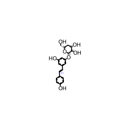 OC[C@@H]1C[C@H](O)[C@@H](O)[C@H](Oc2cc(O)cc(/C=C/c3ccc(O)cc3)c2)O1